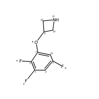 Fc1cc(F)c(F)c(OC2CNC2)c1